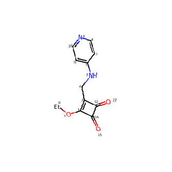 CCOc1c(CNc2ccncc2)c(=O)c1=O